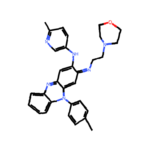 Cc1ccc(-n2c3c/c(=N/CCN4CCOCC4)c(Nc4ccc(C)nc4)cc-3nc3ccccc32)cc1